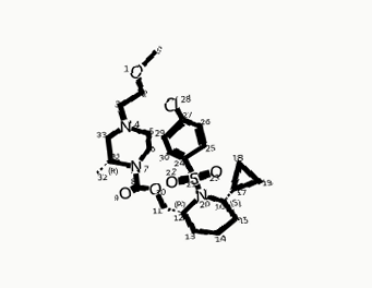 COCCN1CCN(C(=O)OC[C@H]2CCC[C@@H](C3CC3)N2S(=O)(=O)c2ccc(Cl)cc2)[C@H](C)C1